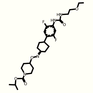 CCOCCNC(=O)Nc1cc(F)c(C2CCC(=NOC3CCN(C(=O)OC(C)C)CC3)CC2)cc1F